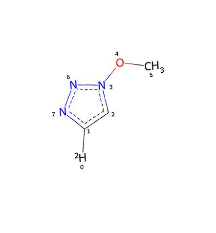 [2H]c1cn(OC)nn1